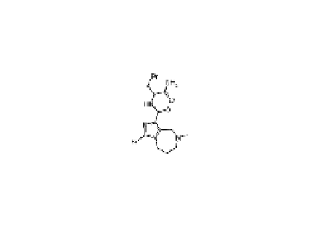 CC(C)CC(NC(=O)c1nc(Br)n2c1CN(C)CCC2)C(N)=O